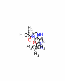 CC(C)C(=O)N1CCNC(C2CCNC2C(=O)C(C)(C)C)C1